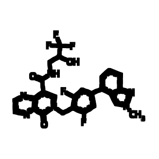 Cn1cc2c(-c3cc(F)c(Cn4cc(C(=O)NCC(O)C(F)(F)F)c5nccnc5c4=O)c(F)c3)cccc2n1